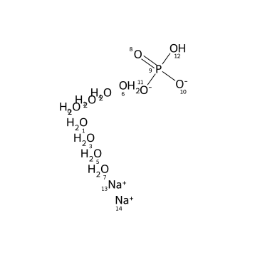 O.O.O.O.O.O.O.O.O=P([O-])([O-])O.[Na+].[Na+]